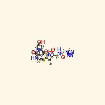 C[C@@H](NC(=O)Cn1cnnn1)C1C(=O)N2C(C(=O)O)=C(S[C@@H]3CN[C@H](C(=O)N4C[C@@H](O)C[C@H]4CO)C3)[C@H](C)C12